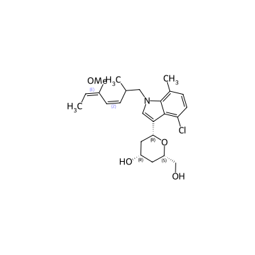 C/C=C(\C=C/C(C)Cn1cc([C@H]2C[C@@H](O)C[C@@H](CO)O2)c2c(Cl)ccc(C)c21)OC